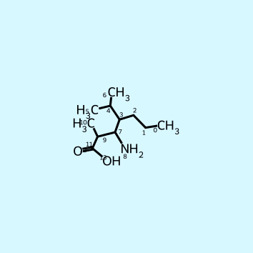 CCCC(C(C)C)C(N)C(C)C(=O)O